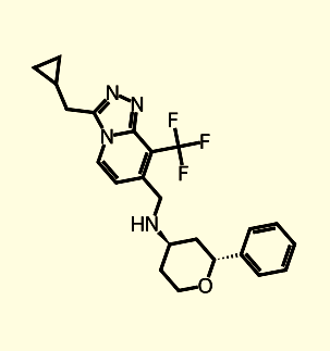 FC(F)(F)c1c(CN[C@@H]2CCO[C@@H](c3ccccc3)C2)ccn2c(CC3CC3)nnc12